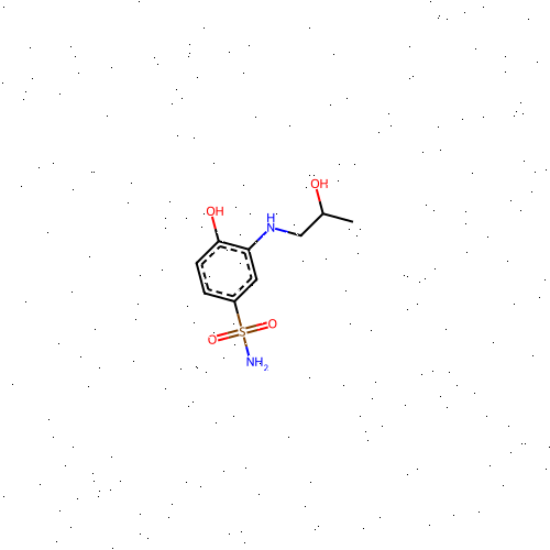 CC(O)CNc1cc(S(N)(=O)=O)ccc1O